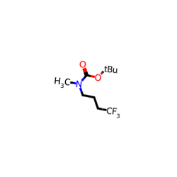 CN(CCCC(F)(F)F)C(=O)OC(C)(C)C